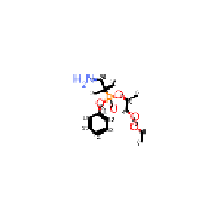 CCOOC[C@H](C)OP(=O)(Oc1ccccc1)C(C)(C)CN